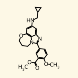 COC(=O)c1cc(-c2nc3cc(NCC4CC4)cc4c3n2CCCO4)ccc1OC